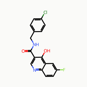 O=C(NCc1ccc(Cl)cc1)c1cnc2ccc(F)cc2c1O